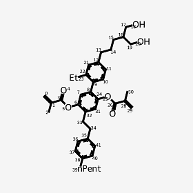 C=C(C)C(=O)Oc1cc(-c2ccc(CCCC(CO)CO)cc2CC)c(OC(=O)C(=C)C)cc1CCc1ccc(CCCCC)cc1